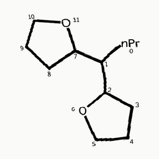 CCCC(C1CCCO1)C1CCCO1